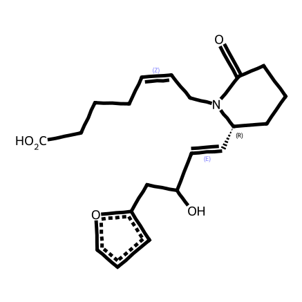 O=C(O)CCC/C=C\CN1C(=O)CCC[C@@H]1/C=C/C(O)Cc1ccco1